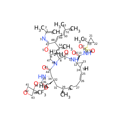 C=C(C)/N=C(O[C@@H]1C[C@H]2C(=O)N[C@]3(C(=O)NS(=O)(=O)C4(C)CC4)C[C@H]3/C=C\CC[C@@H](C)C[C@@H](C)[C@H](NC(=O)OC3(C(F)(F)F)COC3)C(=O)N2C1)\C(=C\C=C(C)C)C(=C)C